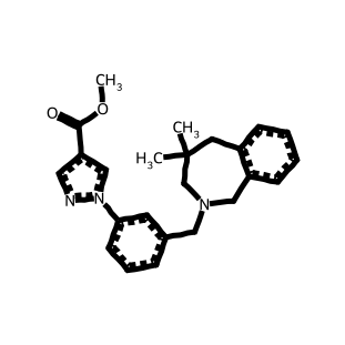 COC(=O)c1cnn(-c2cccc(CN3Cc4ccccc4CC(C)(C)C3)c2)c1